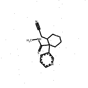 CNC(=S)C1(c2cccnc2)CCCCC1CC#N